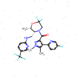 Cc1c(-c2ccc(F)cn2)c(C(=O)N2CC(F)(F)O[C@@H](C)[C@H]2CNc2ccc(C(F)(F)F)cn2)nn1C